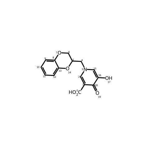 O=C(O)c1cn(CC2COc3ccccc3O2)cc(O)c1=O